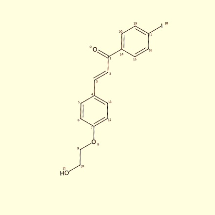 O=C(/C=C/c1ccc(OCCO)cc1)c1ccc(I)cc1